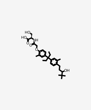 CCC(CC)(c1ccc(CCC(O)C(C)(C)C)c(C)c1)c1ccc(OCC(=O)N[C@H](CO)C(=O)O)c(C)c1